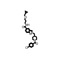 O=C(NCCCOCC1CC1)c1ccc2nn(CC3CCN(C(=O)c4ccc(Cl)cc4)CC3)cc2c1